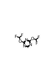 FC(F)Oc1n[c]nc(OC(F)F)n1